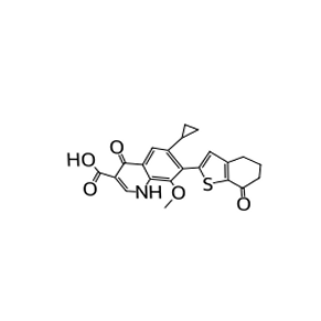 COc1c(-c2cc3c(s2)C(=O)CCC3)c(C2CC2)cc2c(=O)c(C(=O)O)c[nH]c12